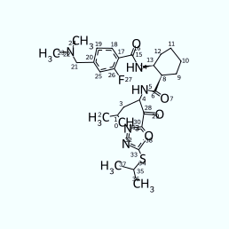 CC(C)CC(NC(=O)[C@@H]1CCCC[C@@H]1NC(=O)c1ccc(CN(C)C)cc1F)C(=O)c1nnc(SC(C)C)o1